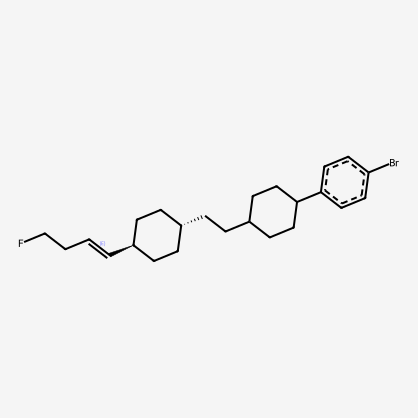 FCC/C=C/[C@H]1CC[C@H](CCC2CCC(c3ccc(Br)cc3)CC2)CC1